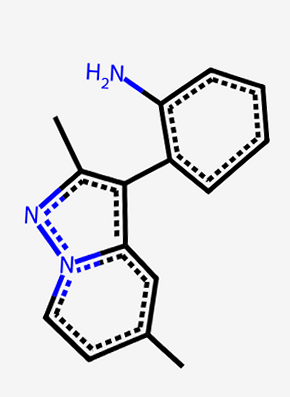 Cc1ccn2nc(C)c(-c3ccccc3N)c2c1